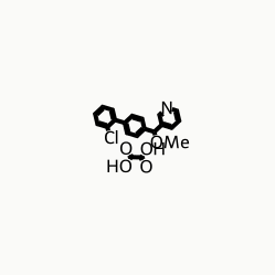 COC(c1ccc(-c2ccccc2Cl)cc1)c1cccnc1.O=C(O)C(=O)O